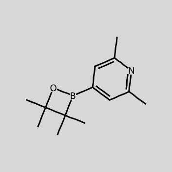 Cc1cc(B2OC(C)(C)C2(C)C)cc(C)n1